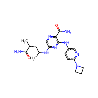 CC(CC(C)C(N)=O)Nc1cnc(C(N)=O)c(Nc2ccc(N3CCC3)nc2)n1